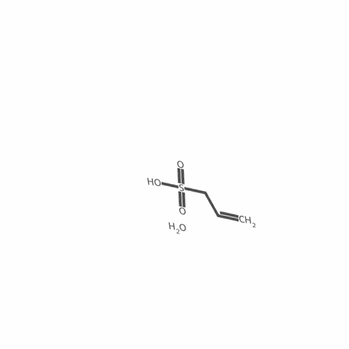 C=CCS(=O)(=O)O.O